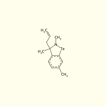 C=CCC1(C)c2ccc(C)cc2[Te]N1C